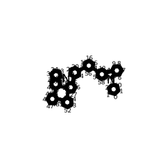 c1ccc(-n2c3ccccc3c3cc(-c4cccc(-c5ccc6c(c5)c5ccc7c(c5n6-c5ccccc5)-c5ccccc5-c5ccccc5-c5ccccc5-7)c4)ccc32)cc1